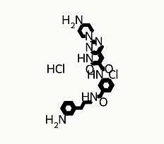 Cl.Nc1cccc(CCCNC(=O)c2ccc(Cl)c(NC(=O)c3cc4cnc(N5CCC(N)CC5)nc4[nH]c3=O)c2)c1